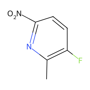 Cc1nc([N+](=O)[O-])ccc1F